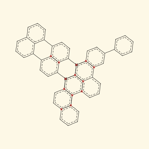 c1ccc(-c2ccc(N(c3ccc(-c4ccccc4)cc3)c3ccc(-c4cccc5cccc(-c6ccc(N(c7ccccc7)c7cccc8ccccc78)cc6)c45)cc3)cc2)cc1